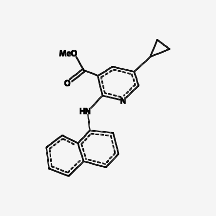 COC(=O)c1cc(C2CC2)cnc1Nc1cccc2ccccc12